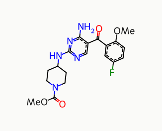 COC(=O)N1CCC(Nc2ncc(C(=O)c3cc(F)ccc3OC)c(N)n2)CC1